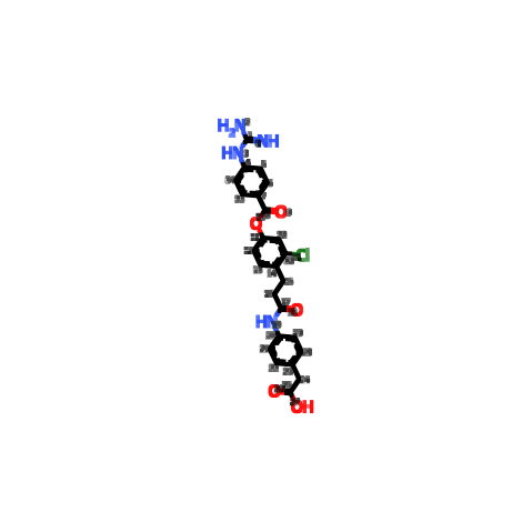 N=C(N)Nc1ccc(C(=O)Oc2ccc(CCC(=O)Nc3ccc(CC(=O)O)cc3)c(Cl)c2)cc1